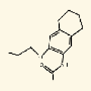 CCCOc1cc2c(cc1NC(C)=O)CCCC2